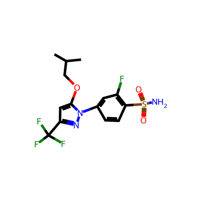 CC(C)COc1cc(C(F)(F)F)nn1-c1ccc(S(N)(=O)=O)c(F)c1